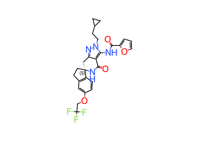 O=C(Nc1c2c(nn1CCC1CC1)C[C@]1(CCc3cc(OCC(F)(F)F)ccc31)NC2=O)c1ccco1